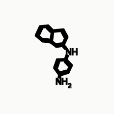 Nc1ccc(Nc2ccc3ccccc3c2)cc1